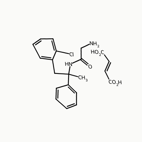 CC(Cc1ccccc1Cl)(NC(=O)CN)c1ccccc1.O=C(O)C=CC(=O)O